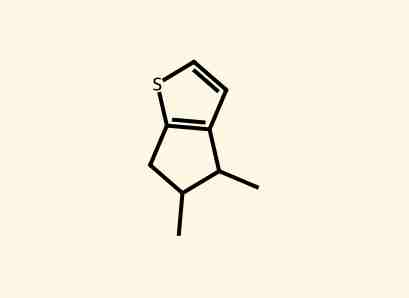 CC1Cc2sccc2C1C